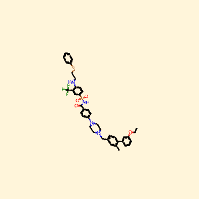 CCOc1cccc(-c2ccc(CN3CCN(c4ccc(C(=O)NS(=O)(=O)c5ccc(NCCSc6ccccc6)c(C(F)(F)F)c5)cc4)CC3)cc2C)c1